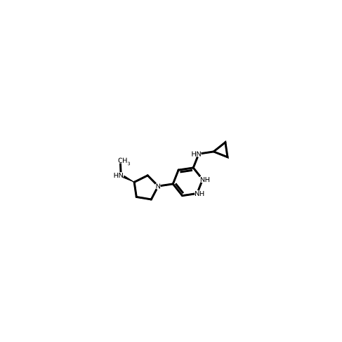 CN[C@@H]1CCN(C2=CNNC(NC3CC3)=C2)C1